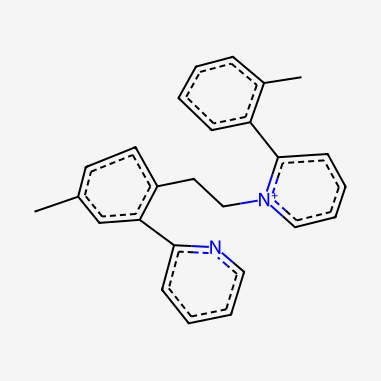 Cc1ccc(CC[n+]2ccccc2-c2ccccc2C)c(-c2ccccn2)c1